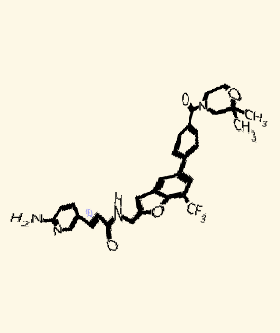 CC1(C)CN(C(=O)c2ccc(-c3cc(C(F)(F)F)c4oc(CNC(=O)/C=C/c5ccc(N)nc5)cc4c3)cc2)CCO1